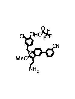 COc1c(CCN)c2cc(-c3cccc(C#N)c3)ccc2n1Cc1ccc(Cl)c(Cl)c1.O=C(O)C(F)(F)F